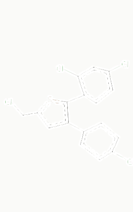 ClCc1cc(-c2ccc(Cl)cc2)c(-c2ccc(Cl)cc2Cl)s1